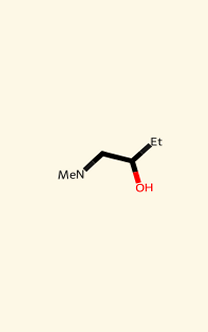 [CH2]CC(O)CNC